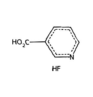 F.O=C(O)c1cccnc1